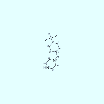 CC(C)(C)C1CCN(CN2CCNCC2)CC1